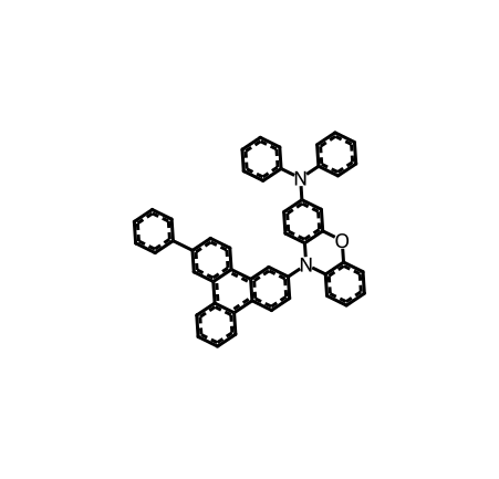 c1ccc(-c2ccc3c(c2)c2ccccc2c2ccc(N4c5ccccc5Oc5cc(N(c6ccccc6)c6ccccc6)ccc54)cc23)cc1